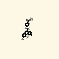 COc1ccc(/C=C(/C(=O)Nc2ccc(C(=O)NO)cc2)c2ccc(C)cc2)cc1OC